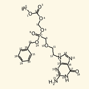 CC(C)OC(=O)OCOP(=O)(COCCn1cnc2c(=O)[nH]c(N)nc21)OCc1ccccc1